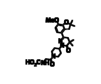 COc1ccc(C2=NN(C3CCN(C(=O)CNC(=O)O)CC3)C(=O)C(C)(C)C2)c2c1OC(C)(C)C2